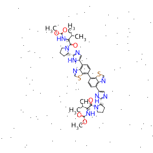 COC(=O)N[C@H](C(=O)N1CCC[C@H]1c1ncc(-c2ccc(-c3ccc(-c4cnc([C@@H]5CCCN5C(=O)[C@@H](NC(=O)OC)C(C)C)[nH]4)c4ncsc34)c3scnc23)[nH]1)C(C)C